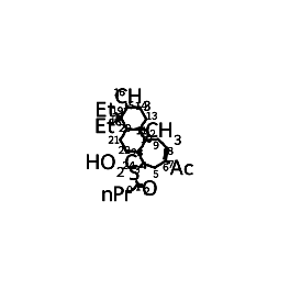 CCCC(=O)SC1CC(C(C)=O)=CCC2C3(C)CCC(C)C(CC)(CC)C3CCC12C(=O)O